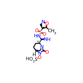 Cc1oncc1S(=O)(=O)NC(=N)[C@@H]1CC[C@@H]2CN1C(=O)N2OS(=O)(=O)O